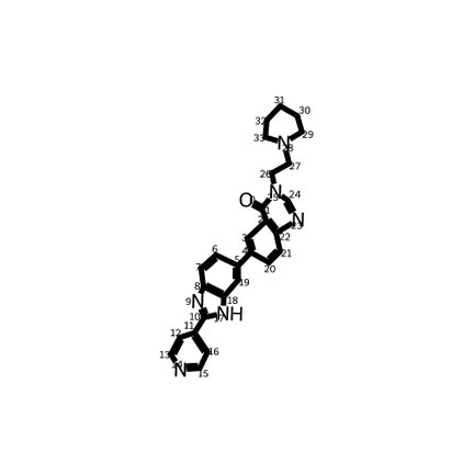 O=c1c2cc(-c3ccc4nc(-c5ccncc5)[nH]c4c3)ccc2ncn1CCN1CCCCC1